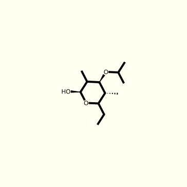 CCC1O[C@@H](O)C(C)[C@@H](OC(C)C)[C@@H]1C